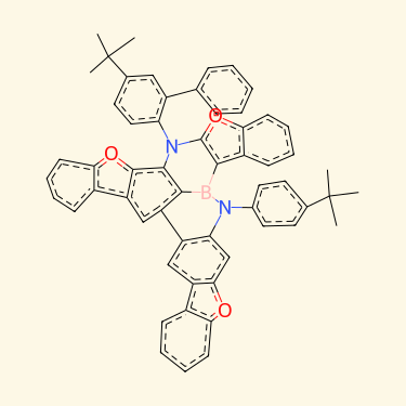 CC(C)(C)c1ccc(N2B3c4c(cc5c(oc6ccccc65)c4N(c4ccc(C(C)(C)C)cc4-c4ccccc4)c4oc5ccccc5c43)-c3cc4c(cc32)oc2ccccc24)cc1